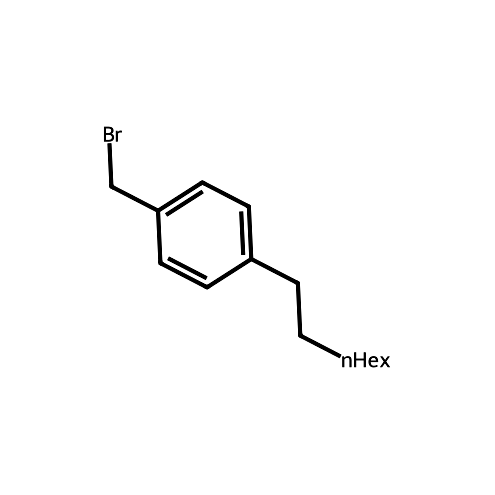 CCCCCCCCc1ccc(CBr)cc1